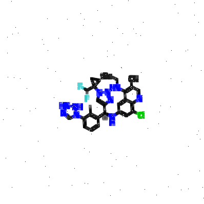 Cc1c([C@H](Nc2cc(Cl)c3ncc(C#N)c(NCC(C)(C)C)c3c2)c2cn(C3(C(F)F)CC3)nn2)cccc1N1C=NNN1